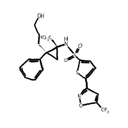 O=C(O)[C@@]1(NS(=O)(=O)c2ccc(-c3cc(C(F)(F)F)on3)s2)C[C@@]1(CCCO)c1ccccc1